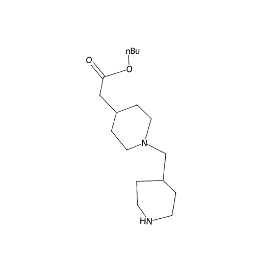 CCCCOC(=O)CC1CCN(CC2CCNCC2)CC1